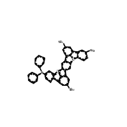 CC(C)(C)c1ccc2c(c1)c1cc(C(C)(C)C)cc3c4cc5c(cc4n2c13)c1cc(C(C)(C)C)cc2c3ccc(N(c4ccccc4)c4ccccc4)cc3n5c21